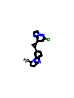 FC(F)(F)C1CCc2nc3ccc([C@H]4CC4c4cc(Cl)nn5ccnc45)cc3n21